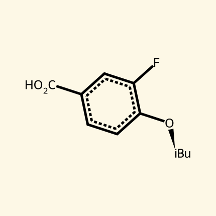 CC[C@H](C)Oc1ccc(C(=O)O)cc1F